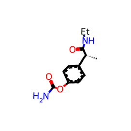 CCNC(=O)[C@H](C)c1ccc(OC(N)=O)cc1